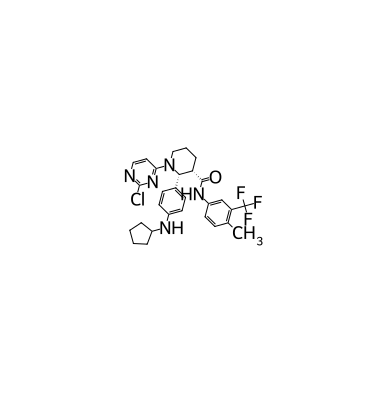 Cc1ccc(NC(=O)[C@H]2CCCN(c3ccnc(Cl)n3)[C@H]2c2ccc(NC3CCCC3)cc2)cc1C(F)(F)F